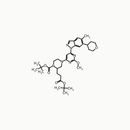 COc1nc(N2CCN(C(=O)OC(C)(C)C)C(CCC(=O)OC(C)(C)C)C2)cc(-n2ncc3cc(C)c(C4CCOCC4)cc32)n1